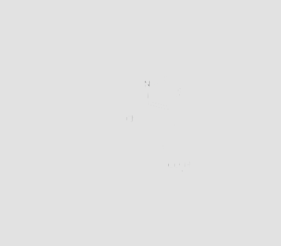 O=C(O)CCc1scnc1Cl